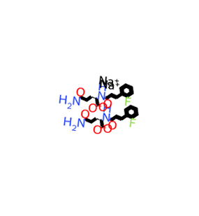 NC(=O)CC[C@H](NC(=O)C=Cc1ccccc1F)C(=O)[O-].NC(=O)CC[C@H](NC(=O)C=Cc1ccccc1F)C(=O)[O-].[Na+].[Na+]